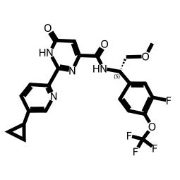 COC[C@@H](NC(=O)c1cc(=O)[nH]c(-c2ccc(C3CC3)cn2)n1)c1ccc(OC(F)(F)F)c(F)c1